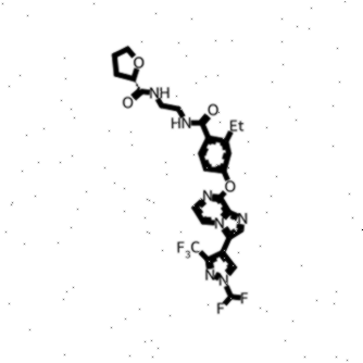 CCc1cc(Oc2nccn3c(-c4cn(C(F)F)nc4C(F)(F)F)cnc23)ccc1C(=O)NCCNC(=O)[C@@H]1CCCO1